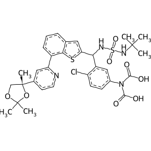 CC(C)(C)NS(=O)(=O)NC(c1cc2cccc(-c3cc([C@@]4(C)COC(C)(C)O4)ccn3)c2s1)c1cc(N(C(=O)O)C(=O)O)ccc1Cl